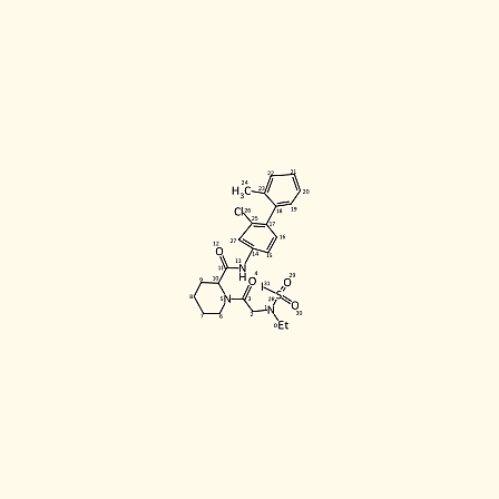 CCN(CC(=O)N1CCCCC1C(=O)Nc1ccc(-c2ccccc2C)c(Cl)c1)S(=O)(=O)I